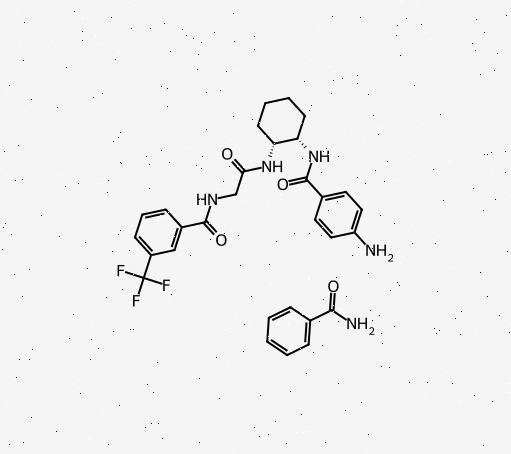 NC(=O)c1ccccc1.Nc1ccc(C(=O)N[C@H]2CCCC[C@H]2NC(=O)CNC(=O)c2cccc(C(F)(F)F)c2)cc1